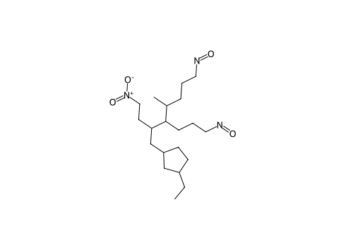 CCC1CCC(CC(CC[N+](=O)[O-])C(CCCN=O)C(C)CCCN=O)C1